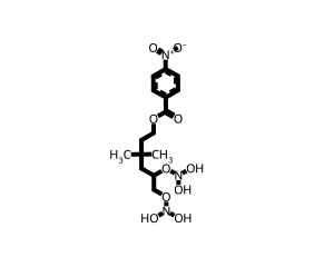 CC(C)(CCOC(=O)c1ccc([N+](=O)[O-])cc1)CC(CON(O)O)ON(O)O